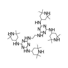 CC1(C)CC(Nc2nc(NCCNc3nc(NC4CC(C)(C)NC(C)(C)C4)nc(NC4CC(C)(C)NC(C)(C)C4)n3)nc(NC3CC(C)(C)NC(C)(C)C3)n2)CC(C)(C)N1